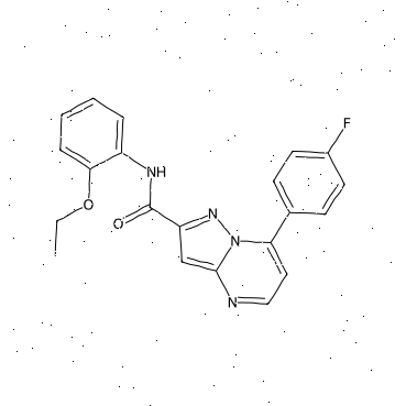 CCOc1ccccc1NC(=O)c1cc2nccc(-c3ccc(F)cc3)n2n1